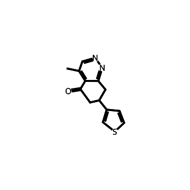 Cc1cnnc2c1C(=O)CC(c1ccsc1)C2